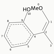 CO/C=C(/C)c1ccccc1O